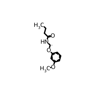 CCCC(=O)N[CH]Oc1cccc(OC)c1